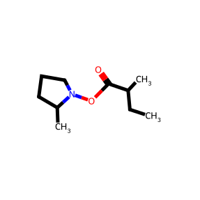 CCC(C)C(=O)ON1CCCC1C